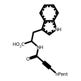 CCCCCC#CC(=O)NC(Cc1c[nH]c2ccccc12)C(=O)O